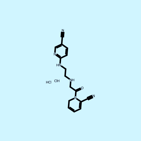 Cl.Cl.N#CC1=CC=CCN1C(=O)CNCCNc1ccc(C#N)cn1